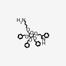 NCCCCOC[C@H]1O[C@@H](OCCc2c[nH]c3ccccc23)[C@H](OCc2ccccc2)[C@@H](OCc2ccccc2)[C@@H]1OCc1ccccc1